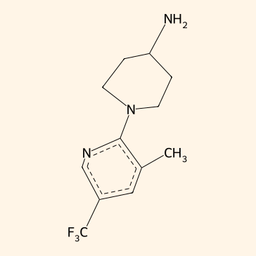 Cc1cc(C(F)(F)F)cnc1N1CCC(N)CC1